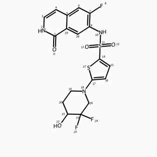 O=c1[nH]ccc2cc(F)c(NS(=O)(=O)c3ccc(N4CCC(O)C(F)(F)C4)s3)cc12